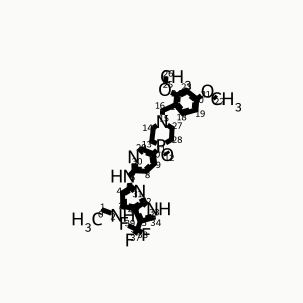 CCNc1cc(Nc2ccc(P3(=O)CCN(Cc4ccc(OC)cc4OC)CC3)cn2)nc2[nH]cc(C(F)(F)F)c12